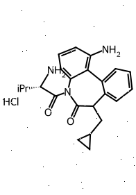 CC(C)[C@H](N)C(=O)N1C(=O)C(CC2CC2)c2ccccc2-c2c(N)cccc21.Cl